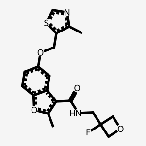 Cc1ncsc1COc1ccc2oc(C)c(C(=O)NCC3(F)COC3)c2c1